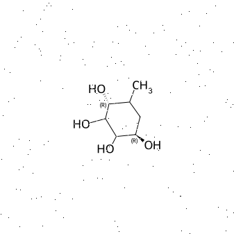 CC1C[C@@H](O)C(O)C(O)[C@@H]1O